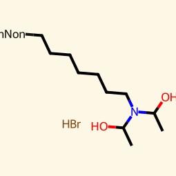 Br.CCCCCCCCCCCCCCCCN(C(C)O)C(C)O